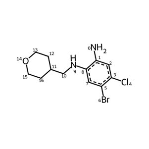 Nc1cc(Cl)c(Br)cc1NCC1CCOCC1